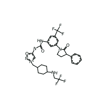 O=C([N-]c1c[n+](CC2CCC(NCC(F)(F)F)CC2)no1)Nc1cc(N2CCC(c3ccccc3)C2=O)cc(C(F)(F)F)c1